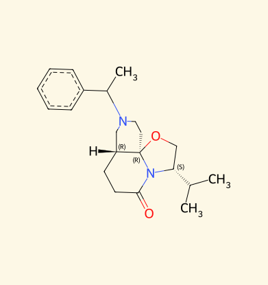 CC(C)[C@H]1CO[C@]23CCN(C(C)c4ccccc4)C[C@H]2CCC(=O)N13